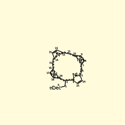 CCCCCCCCCCCc1c2nc(cc3ccc(cc4nc(cc5ccc1[nH]5)C=C4)[nH]3)C=C2